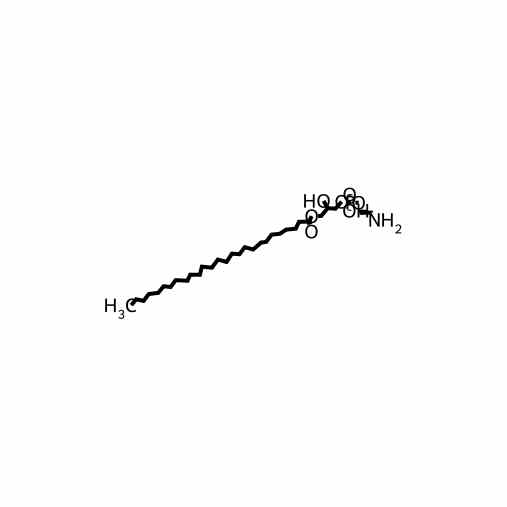 CCCCCCCCCCCCCCCCCCCCCCCCCCC(=O)OCC(O)COP(=O)(O)OCCN